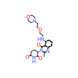 Cc1nc2cccc(NCCOCCN3CCOCC3)c2c(=O)n1C1CCC(=O)NC1=O